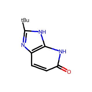 CC(C)(C)c1nc2ccc(=O)[nH]c2[nH]1